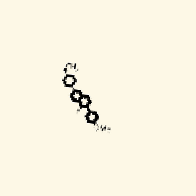 C=C[C@H]1CC[C@H](c2ccc3c(F)c(-c4ccc(OC)cc4)ccc3c2)CC1